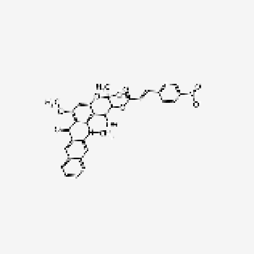 COc1cc2c(c3c1c(=O)c1cc4ccccc4cc1n3C)C(O)C(OC(=O)/C=C/c1ccc([N+](=O)[O-])cc1)C(C)(C)O2